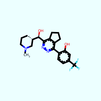 CN1CCC[C@H]([C@@H](O)c2nnc(-c3ccc(C(F)(F)F)cc3O)c3c2CCC3)C1